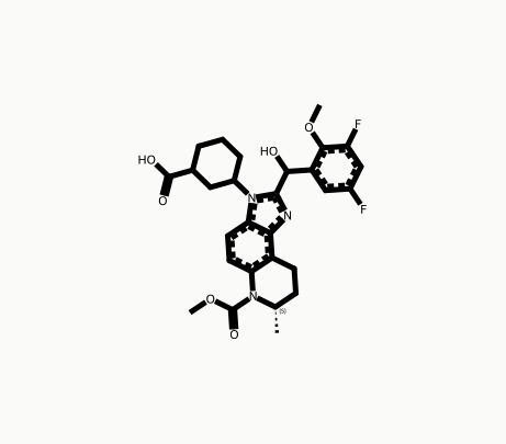 COC(=O)N1c2ccc3c(nc(C(O)c4cc(F)cc(F)c4OC)n3C3CCCC(C(=O)O)C3)c2CC[C@@H]1C